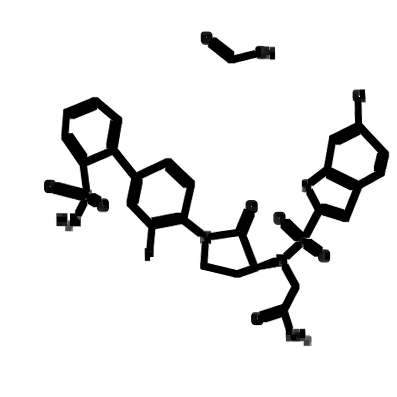 NC(=O)CN([C@H]1CCN(c2ccc(-c3ccccc3S(N)(=O)=O)cc2F)C1=O)S(=O)(=O)c1cc2ccc(Cl)cc2s1.O=CO